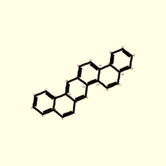 c1ccc2c(c1)ccc1cc3c(ccc4c5ccccc5ccc34)cc12